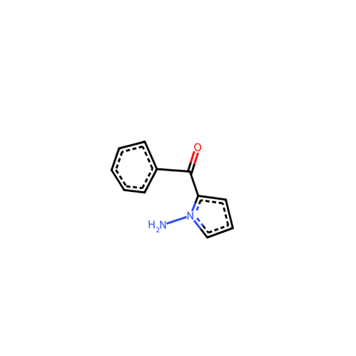 Nn1cccc1C(=O)c1ccccc1